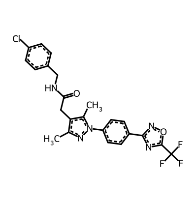 Cc1nn(-c2ccc(-c3noc(C(F)(F)F)n3)cc2)c(C)c1CC(=O)NCc1ccc(Cl)cc1